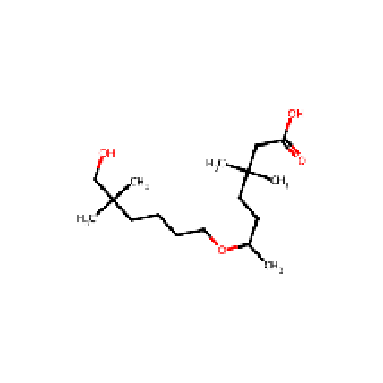 CC(CCC(C)(C)CC(=O)O)OCCCCC(C)(C)CO